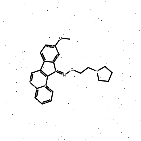 COc1ccc2c(c1)C(=NOCCN1CCCC1)c1c-2cnc2ccccc12